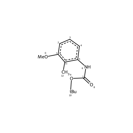 COc1cccc(NC(=O)OC(C)(C)C)c1C